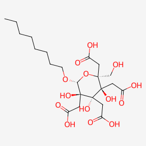 CCCCCCCCO[C@@H]1O[C@@](CO)(CC(=O)O)[C@](O)(CC(=O)O)[C@@](O)(CC(=O)O)[C@]1(O)CC(=O)O